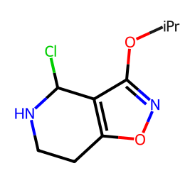 CC(C)Oc1noc2c1C(Cl)NCC2